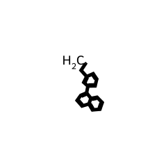 C=CCc1cccc(-c2cccc3ccccc23)c1